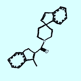 CC1=C(C(=O)N2CCC3(C=Cc4ccccc43)CC2)Cc2ccccc21